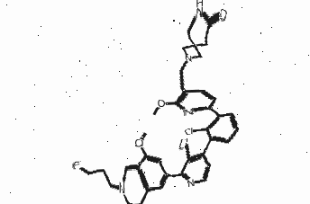 COc1cc(-c2nccc(-c3cccc(-c4ccc(CN5CC6(CNC(=O)C6)C5)c(OC)n4)c3Cl)c2Cl)cc2c1CN(CCCF)CC2